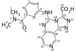 CN(C)C(=O)c1cccc(Nc2nc3ccncc3c3nnc(C(=O)O)n23)c1